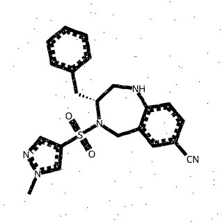 Cn1cc(S(=O)(=O)N2Cc3cc(C#N)ccc3NC[C@H]2Cc2ccccc2)cn1